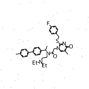 CCN(CC)CCN(C(=O)Cn1cc(C)c(=O)nc1SCc1ccc(F)cc1)C(C)c1ccc(-c2ccc(C)cc2)cc1